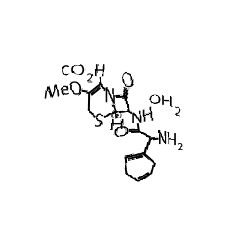 COC1=C(C(=O)O)N2C(=O)C(NC(=O)C(N)C3=CCC=CC3)[C@@H]2SC1.O